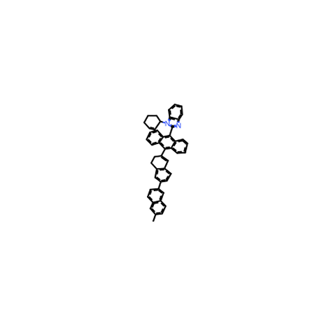 Cc1ccc2cc(-c3ccc4c(c3)CCC(c3c5ccccc5c(-c5nc6ccccc6n5C5C=CCCC5)c5ccccc35)=C4)ccc2c1